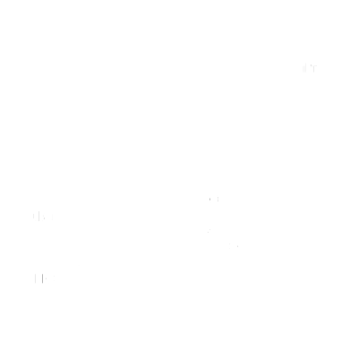 CC(C)CCCCCOC(=O)CCc1ccc(O)c(C(C)(C)C)c1